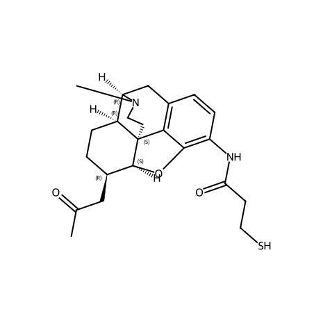 CC(=O)C[C@H]1CC[C@H]2[C@H]3Cc4ccc(NC(=O)CCS)c5c4[C@@]2(CCN3C)[C@H]1O5